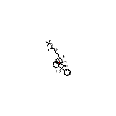 CC(C)(C)OC(=O)NCC[N+]12CCC(CC1)[C@@H](C(=O)C(O)(c1ccccc1)c1ccccc1)C2.[Br-]